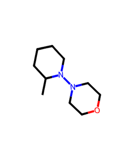 CC1CCCCN1N1CCOCC1